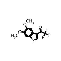 COc1cc2c(cc1OC)C(C(=O)C(F)(F)F)=C[N]2